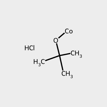 CC(C)(C)[O][Co].Cl